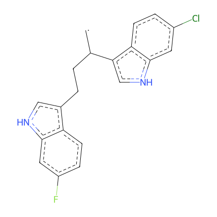 [CH2]C(CCc1c[nH]c2cc(F)ccc12)c1c[nH]c2cc(Cl)ccc12